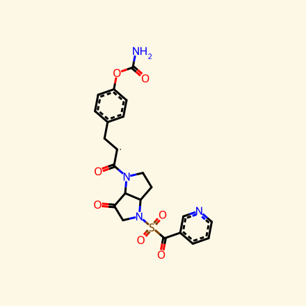 NC(=O)Oc1ccc(C[CH]C(=O)N2CCC3C2C(=O)CN3S(=O)(=O)C(=O)c2cccnc2)cc1